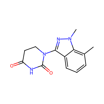 Cc1cccc2c(N3CCC(=O)NC3=O)nn(C)c12